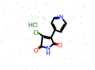 Cl.O=C1NC(=O)C(c2ccncc2)=C1Cl